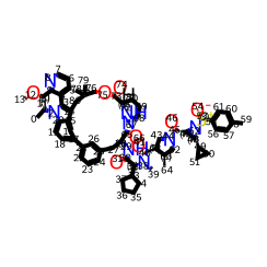 CCn1c(-c2cccnc2[C@H](C)OC)c2c3cc(ccc31)-c1cccc(c1)C[C@H](NC(=O)[C@H](C1CCCC1)N(C)C(=O)[C@H]1CN(C(=O)[C@H]3[C@@H](C4CC4)N3[S@+]([O-])c3ccc(C)cc3)C[C@H]1C)C(=O)N1CCC[C@H](N1)C(=O)OCC(C)(C)C2